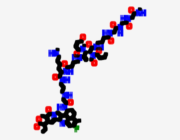 C=C(NCCCC(=O)NC(CCCCNC)C(=O)NCCCNCC(=O)NC1CCc2c(C)c(F)cc3nc4c(c1c23)Cn1c-4cc2c(c1=O)COC(=O)C2CC)[C@H](C(C(=O)NCCCC(=O)NCC(=O)NCC(=O)NCC(=O)NC)N(C=O)C(=O)/C=C\C)N(C)C(=O)/C=C\C=O